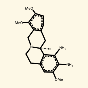 COc1cc2c(c(N)c1N)[C@@H]1Cc3ccc(OC)c(OC)c3CN1CC2